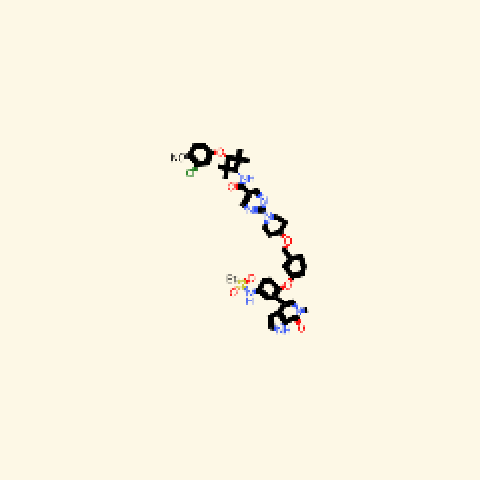 CCS(=O)(=O)Nc1ccc(Oc2cccc(COC3CCN(c4ncc(C(=O)N[C@H]5C(C)(C)[C@H](Oc6ccc(C#N)c(Cl)c6)C5(C)C)cn4)CC3)c2)c(-c2cn(C)c(=O)c3[nH]ccc23)c1